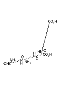 N[C@H]([C]=O)CCCCNC(=O)[C@@H](N)CCCCNC(=O)CC[C@H](NC(=O)CCCCCCCCCCCCCCC(=O)O)C(=O)O